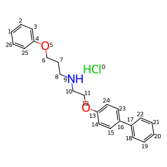 Cl.c1ccc(OCCCNCCOc2ccc(-c3ccccc3)cc2)cc1